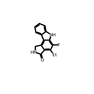 CCc1c2c(c3c([nH]c4ccccc43)c1F)CNC2=O